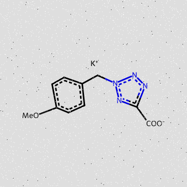 COc1ccc(Cn2nnc(C(=O)[O-])n2)cc1.[K+]